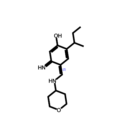 CCC(C)C1=C/C(=C/NC2CCOCC2)C(=N)C=C1O